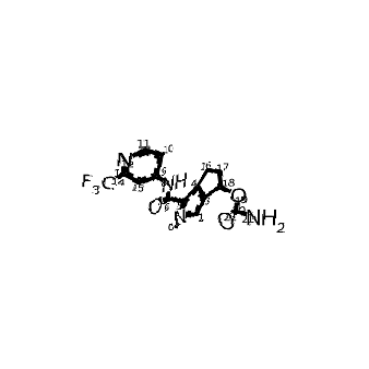 Cn1cc2c(c1C(=O)Nc1ccnc(C(F)(F)F)c1)CCC2OC(N)=O